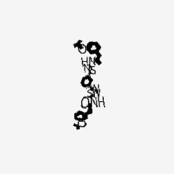 C=C(Cc1cccc(OC(C)C)c1)NC1=NC([C@H]2CCC[C@H](c3nnc(NC(=O)Cc4cccc(OC(C)C)c4)s3)C2)S1